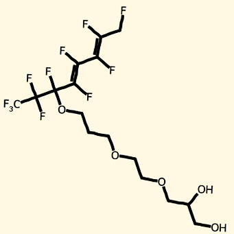 OCC(O)COCCOCCCOC(F)(/C(F)=C(F)/C(F)=C(\F)CF)C(F)(F)C(F)(F)F